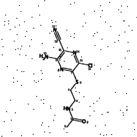 CC(=O)NCCSc1nc(N)c(C#N)nc1Cl